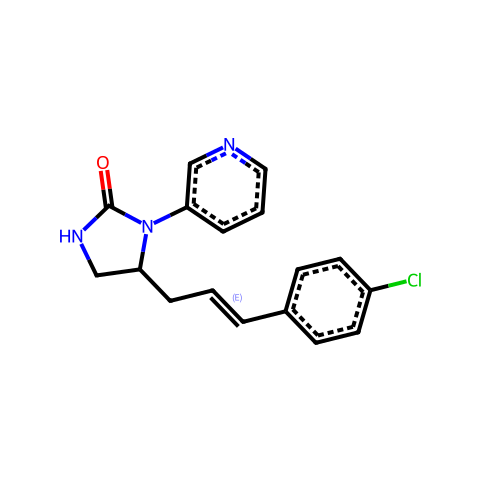 O=C1NCC(C/C=C/c2ccc(Cl)cc2)N1c1cccnc1